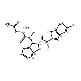 CN(C(=O)[C@@H](O)CC(N)=O)[C@@H]1c2ccccc2C[C@H]1NC(=O)c1cc2cc(F)ccc2[nH]1